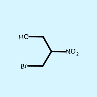 O=[N+]([O-])C(CO)CBr